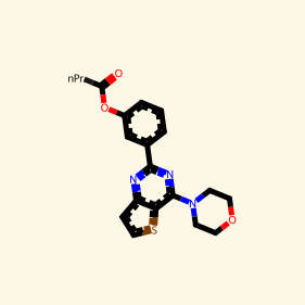 CCCC(=O)Oc1cccc(-c2nc(N3CCOCC3)c3sccc3n2)c1